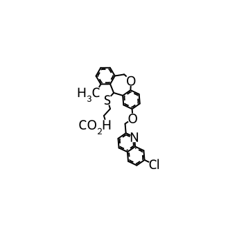 Cc1cccc2c1C(SCCC(=O)O)c1cc(OCc3ccc4ccc(Cl)cc4n3)ccc1OC2